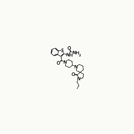 CCCN1CCC2(CCCN(C3CCN(C(=O)c4c(NC(N)=O)sc5ccccc45)CC3)C2)C1=O